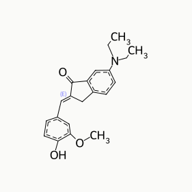 CCN(CC)c1ccc2c(c1)C(=O)/C(=C/c1ccc(O)c(OC)c1)C2